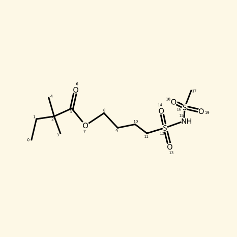 CCC(C)(C)C(=O)OCCCCS(=O)(=O)NS(C)(=O)=O